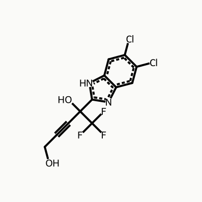 OCC#CC(O)(c1nc2cc(Cl)c(Cl)cc2[nH]1)C(F)(F)F